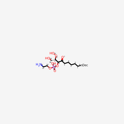 CCCCCCCCCCCCCCCC(=O)C(OP(=O)(O)OCCN)[C@H](CO)OO